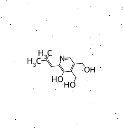 CC(C)=Cc1ncc(CO)c(CO)c1O